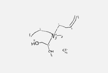 C=CC[N+](C)(CC)C(O)O.[Cl-]